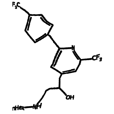 CCCCCCNCC(O)c1cc(-c2ccc(C(F)(F)F)cc2)nc(C(F)(F)F)c1